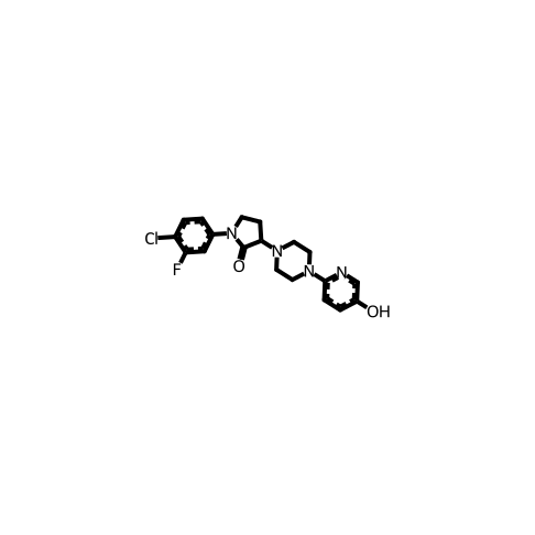 O=C1C(N2CCN(c3ccc(O)cn3)CC2)CCN1c1ccc(Cl)c(F)c1